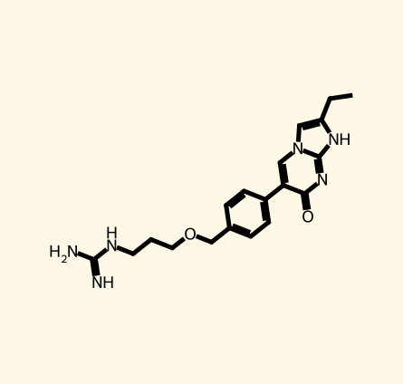 CCc1cn2cc(-c3ccc(COCCCNC(=N)N)cc3)c(=O)nc2[nH]1